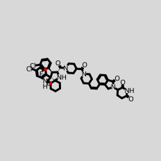 O=C1CCC(N2Cc3c(/C=C\C4CCN(C(=O)C5CCN(C(=O)[C@@H]6NC7(CCCCC7)[C@@]7(C(=O)Nc8cc(Cl)ccc87)[C@H]6c6cccc(Cl)c6F)CC5)CC4)cccc3C2=O)C(=O)N1